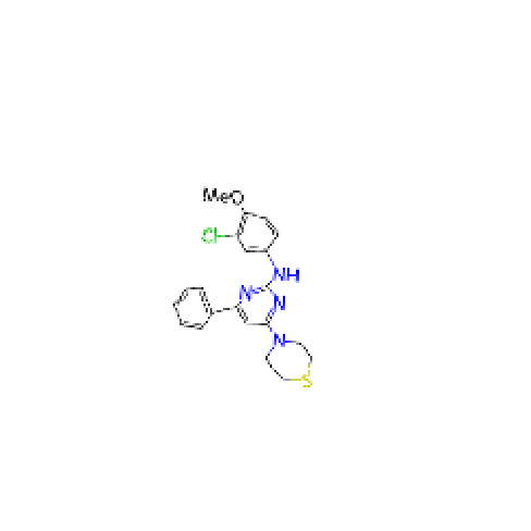 COc1ccc(Nc2nc(-c3ccccc3)cc(N3CCSCC3)n2)cc1Cl